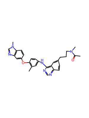 CC(=O)N(C)CCCc1ccc2ncnc(Nc3ccc(Oc4ccc5c(c4)ncn5C)c(C)c3)c2c1